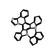 c1ccc(-n2c3ccccc3c3c4c5ccccc5c5nccn5c4c4c5ccccc5n(-c5ccccc5)c4c32)cc1